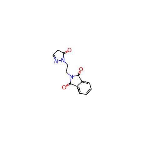 O=C1CC=NN1CCN1C(=O)c2ccccc2C1=O